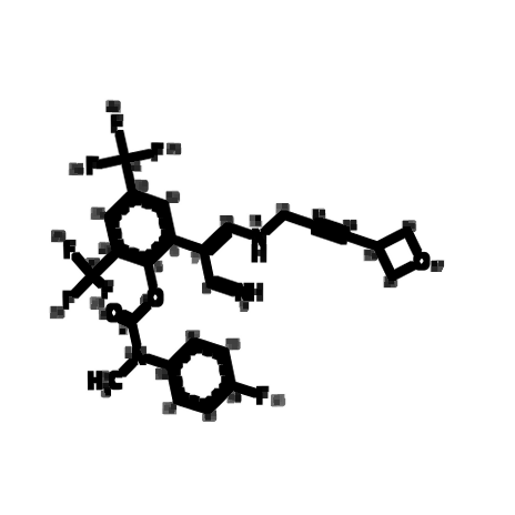 CN(C(=O)Oc1c(/C(C=N)=C/NCC#CC2COC2)cc(C(F)(F)F)cc1C(F)(F)F)c1ccc(F)cc1